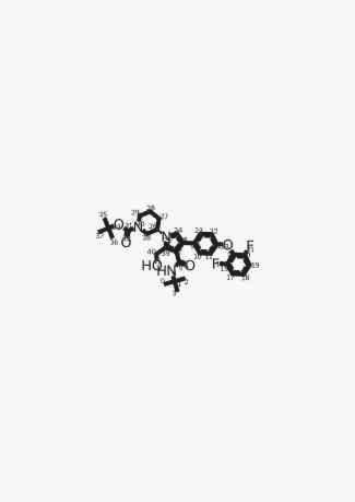 CC(C)(C)NC(=O)c1c(-c2ccc(Oc3c(F)cccc3F)cc2)cn([C@@H]2CCCN(C(=O)OC(C)(C)C)C2)c1CO